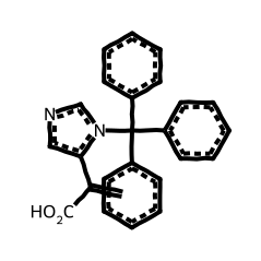 C=C(C(=O)O)c1cncn1C(c1ccccc1)(c1ccccc1)c1ccccc1